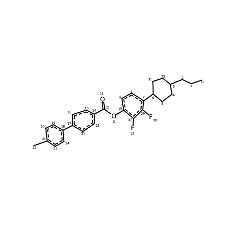 CCCC1CCC(c2ccc(OC(=O)c3ccc(-c4ccc(C)cc4)cc3)c(F)c2F)CC1